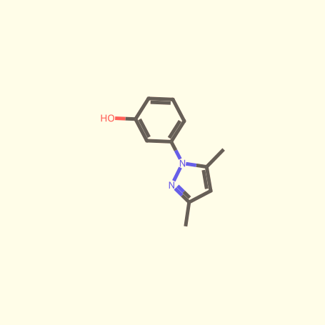 Cc1cc(C)n(-c2cccc(O)c2)n1